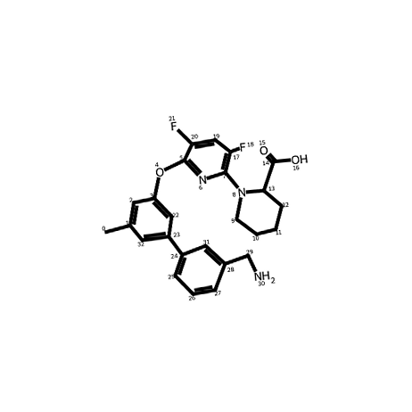 Cc1cc(Oc2nc(N3CCCCC3C(=O)O)c(F)cc2F)cc(-c2cccc(CN)c2)c1